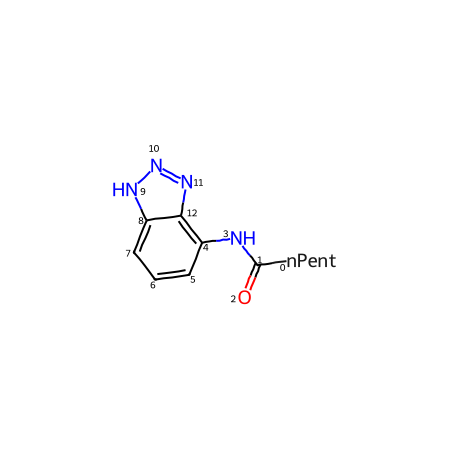 CCCCCC(=O)Nc1cccc2[nH]nnc12